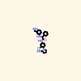 N=C1CCCN1c1ccc(NC(=O)[C@@H](Nc2cccc(CN)c2)c2ccccc2)cc1Cl